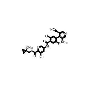 C#Cc1cncc(N)c1-c1cc(Cl)c(C(=O)Nc2cnc(C(=O)NCC3(C#N)CC3)c(Cl)c2)cc1F